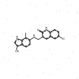 Cc1c(NCc2cc3cc(Cl)ccc3[nH]c2=O)ccc2c(C#N)c[nH]c12